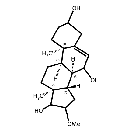 COC1C[C@H]2[C@@H]3C(O)C=C4CC(O)CC[C@]4(C)[C@@H]3CC[C@]2(C)C1O